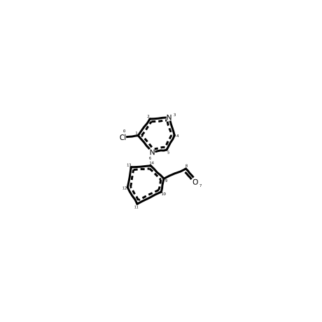 Clc1cnccn1.O=Cc1ccccc1